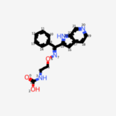 O=C(O)NCCON=C(c1ccccc1)c1cc2ccncc2[nH]1